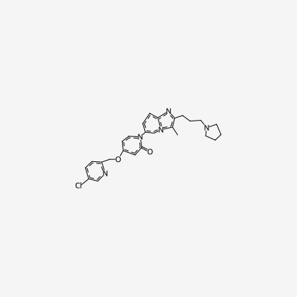 Cc1c(CCCN2CCCC2)nc2ccc(-n3ccc(OCc4ccc(Cl)cn4)cc3=O)cn12